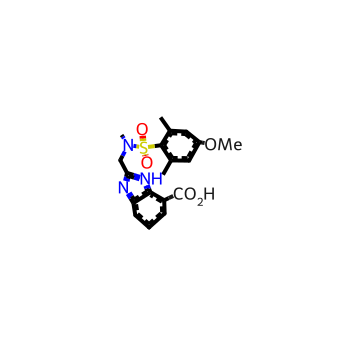 COc1cc(C)c(S(=O)(=O)N(C)Cc2nc3cccc(C(=O)O)c3[nH]2)c(C)c1